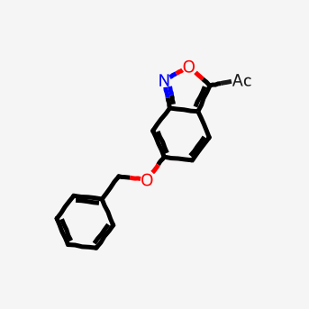 CC(=O)c1onc2cc(OCc3ccccc3)ccc12